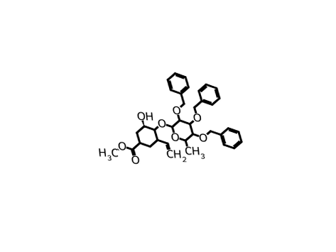 C=CC1CC(C(=O)OC)C[C@@H](O)C1OC1OC(C)C(OCc2ccccc2)C(OCc2ccccc2)C1OCc1ccccc1